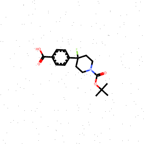 CC(C)(C)OC(=O)N1CCC(F)(c2ccc(C(=O)O)cc2)CC1